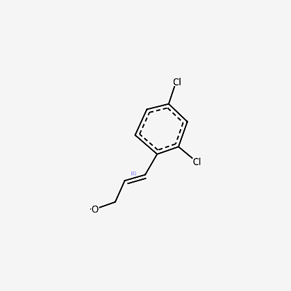 [O]C/C=C/c1ccc(Cl)cc1Cl